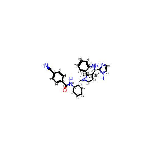 N#Cc1ccc(C(=O)N[C@@H]2CCCC[C@H]2CN2CC[C@@H]3[C@H](c4ncc[nH]4)Nc4ccccc4[C@@H]32)cc1